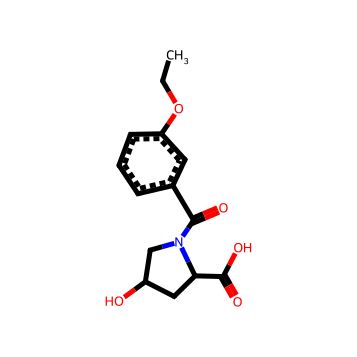 CCOc1cccc(C(=O)N2CC(O)CC2C(=O)O)c1